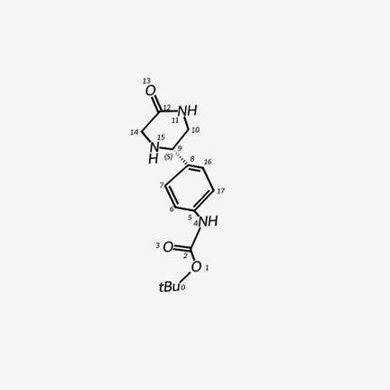 CC(C)(C)OC(=O)Nc1ccc([C@H]2CNC(=O)CN2)cc1